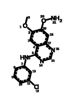 COc1cc2c(Nc3cccc(Cl)c3)ncnc2cc1ON